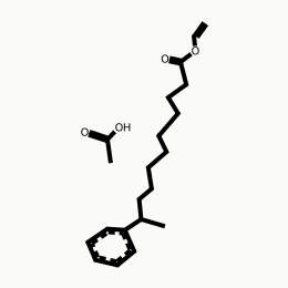 C=COC(=O)CCCCCCCCC(C)c1ccccc1.CC(=O)O